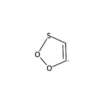 [C]1=CSOO1